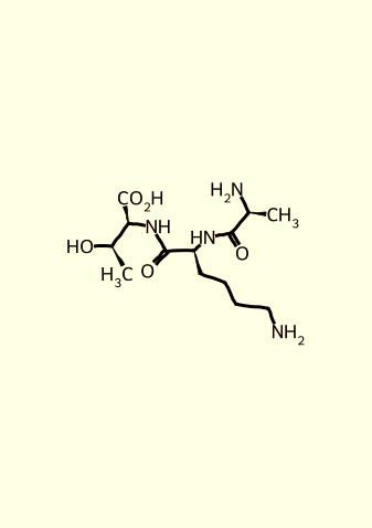 C[C@H](N)C(=O)N[C@@H](CCCCN)C(=O)N[C@H](C(=O)O)[C@@H](C)O